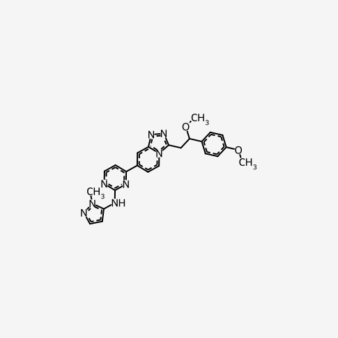 COc1ccc(C(Cc2nnc3cc(-c4ccnc(Nc5ccnn5C)n4)ccn23)OC)cc1